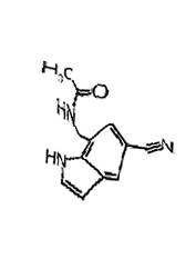 CC(=O)Nc1cc(C#N)cc2cc[nH]c12